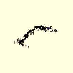 CN(CCOC(=O)NCc1ccc(COc2nc(N)nc3[nH]cnc23)cc1)c1cc2c(s1)CC1C=C(/C=C(\C#N)C(=O)OC(C)(C)C)SC1=C2